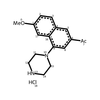 COc1ccc2cc(C(C)=O)cc(N3CCNCC3)c2c1.Cl